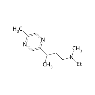 CCN(C)CCC(C)c1cnc(C)cn1